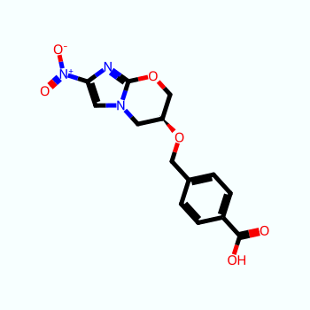 O=C(O)c1ccc(CO[C@@H]2COc3nc([N+](=O)[O-])cn3C2)cc1